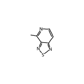 Cc1nccc2nsnc12